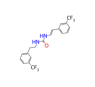 O=C(N/C=C/c1cccc(C(F)(F)F)c1)NCCc1cccc(C(F)(F)F)c1